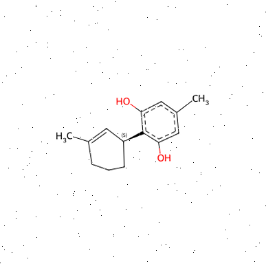 CC1=C[C@@H](c2c(O)cc(C)cc2O)CCC1